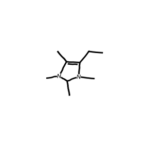 CCC1=C(C)N(C)C(C)N1C